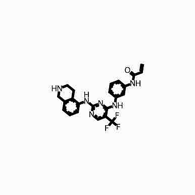 C=CC(=O)Nc1cccc(Nc2nc(Nc3cccc4c3CCNC4)ncc2C(F)(F)F)c1